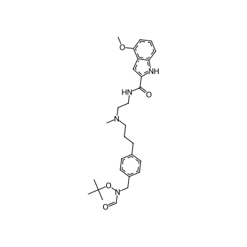 COc1cccc2[nH]c(C(=O)NCCN(C)CCCc3ccc(CN(C=O)OC(C)(C)C)cc3)cc12